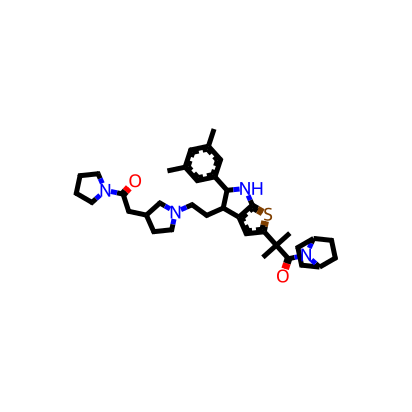 Cc1cc(C)cc(C2Nc3sc(C(C)(C)C(=O)N4C5CCC4CC5)cc3C2CCN2CCC(CC(=O)N3CCCC3)C2)c1